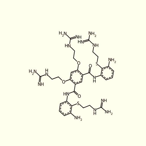 N=C(N)NCCOc1cc(OCCNC(=N)N)c(C(=O)Nc2cccc(N)c2SCCNC(=N)N)cc1C(=O)Nc1cccc(N)c1SCCNC(=N)N